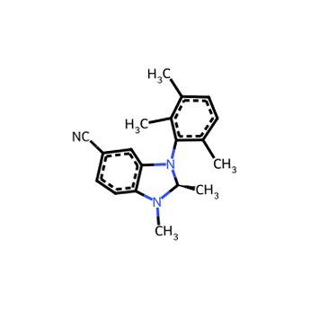 Cc1ccc(C)c(N2c3cc(C#N)ccc3N(C)[C@@H]2C)c1C